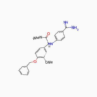 C[N]C(=O)[C@@H](Nc1ccc(C(=N)N)cc1)c1ccc(OCc2ccccc2)c(OC)c1